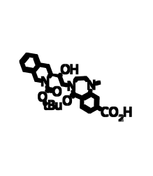 CN1CCN(CC(O)[C@@H]2Cc3ccccc3CN2C(=O)OC(C)(C)C)C(=O)c2ccc(C(=O)O)cc21